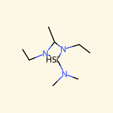 CCN1C(C)N(CC)[SiH]1N(C)C